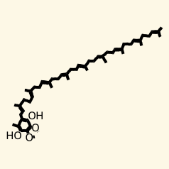 COc1c(O)c(C)c(C/C=C(\C)CC/C=C(\C)CC/C=C(\C)CC/C=C(\C)CC/C=C(\C)CC/C=C(\C)CC/C=C(\C)CC/C=C(\C)CCC=C(C)C)c(O)c1OC